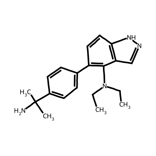 CCN(CC)c1c(-c2ccc(C(C)(C)N)cc2)ccc2[nH]ncc12